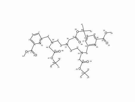 COC(=O)c1cccc(CN(CCN(CCN(CC(=O)OC(C)(C)C)Cc2cccc(C(=O)OC)n2)CC(=O)OC(C)(C)C)CC(=O)OC(C)(C)C)n1